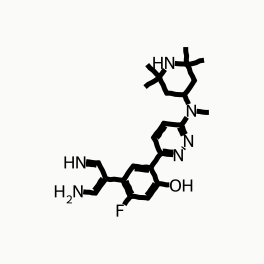 CN(c1ccc(-c2cc(/C(C=N)=C/N)c(F)cc2O)nn1)C1CC(C)(C)NC(C)(C)C1